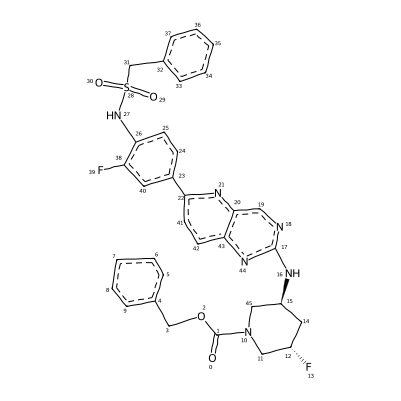 O=C(OCc1ccccc1)N1C[C@@H](F)C[C@H](Nc2ncc3nc(-c4ccc(NS(=O)(=O)Cc5ccccc5)c(F)c4)ccc3n2)C1